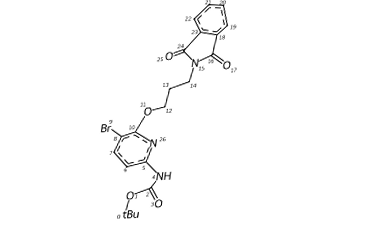 CC(C)(C)OC(=O)Nc1ccc(Br)c(OCCCN2C(=O)c3ccccc3C2=O)n1